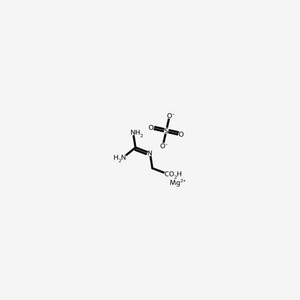 NC(N)=NCC(=O)O.O=S(=O)([O-])[O-].[Mg+2]